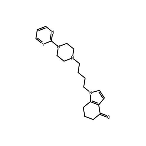 O=C1CCCc2c1ccn2CCCCN1CCN(c2ncccn2)CC1